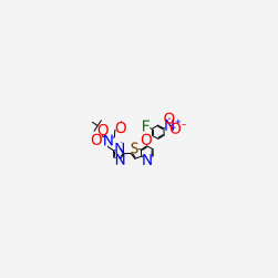 COCCN(Cc1cnc(-c2cc3nccc(Oc4ccc([N+](=O)[O-])cc4F)c3s2)n1C)C(=O)OC(C)(C)C